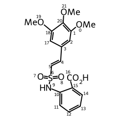 COc1cc(/C=C/S(=O)(=O)Nc2ccccc2C(=O)O)cc(OC)c1OC